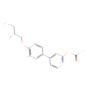 CC(C)C[C@H](N)COc1ccc(-c2ccnc(OC(N)=O)c2)cc1F